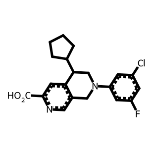 O=C(O)c1cc2c(cn1)CN(c1cc(F)cc(Cl)c1)CC2C1CCCC1